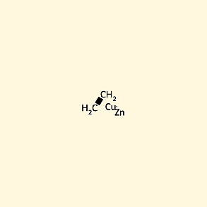 C=C.[Cu].[Zn]